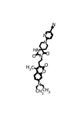 CCN(CC)c1ccc2c(C)c(CCN3C(=O)NC4(CCN(c5ccc(C#N)cn5)CC4)C3=O)c(=O)oc2c1